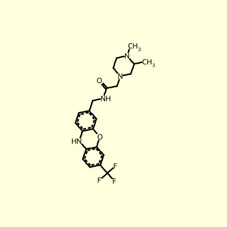 CC1CN(CC(=O)NCc2ccc3c(c2)Oc2cc(C(F)(F)F)ccc2N3)CCN1C